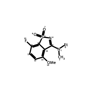 CCN(C)C1=NS(=O)(=O)c2c(F)ccc(OC)c21